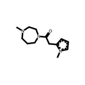 CN1CCCN(C(=O)Cc2cccn2C)CC1